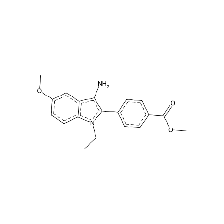 CCn1c(-c2ccc(C(=O)OC)cc2)c(N)c2cc(OC)ccc21